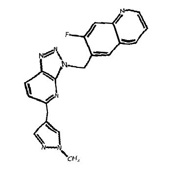 Cn1cc(-c2ccc3nnn(Cc4cc5cccnc5cc4F)c3n2)cn1